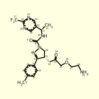 Cc1ccc(C2=NN(C(=O)N[C@H](C)c3cnc(C(F)(F)F)nc3)C[C@@H]2CC(=O)COCCN)cc1